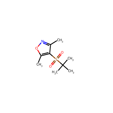 Cc1noc(C)c1S(=O)(=O)C(C)(C)C